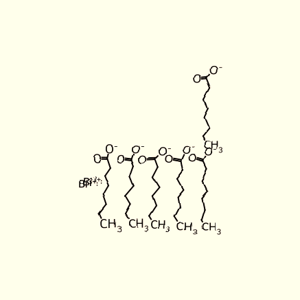 CCCCCCCC(=O)[O-].CCCCCCCC(=O)[O-].CCCCCCCC(=O)[O-].CCCCCCCC(=O)[O-].CCCCCCCC(=O)[O-].CCCCCCCC(=O)[O-].[Bi+3].[Bi+3]